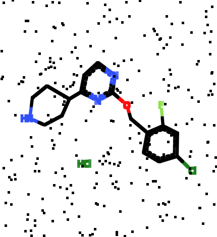 Cl.Fc1cc(Cl)ccc1COc1nccc(C2CCNCC2)n1